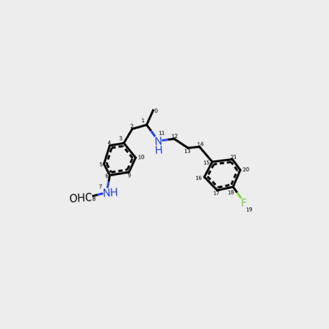 CC(Cc1ccc(NC=O)cc1)NCCCc1ccc(F)cc1